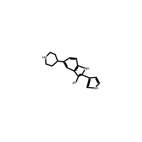 CC(C)c1c(-c2cc[nH]c2)[nH]c2ccc(C3CCNCC3)cc12